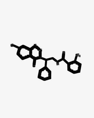 O=C(NCC(c1ccccc1)n1nnc2cc(Cl)ccc2c1=O)c1ccccc1C(F)(F)F